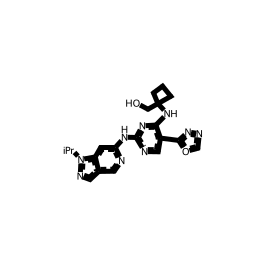 CC(C)n1ncc2cnc(Nc3ncc(-c4nnco4)c(NC4(CO)CCC4)n3)cc21